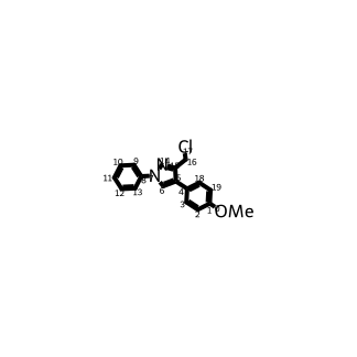 COc1ccc(-c2cn(-c3ccccc3)nc2CCl)cc1